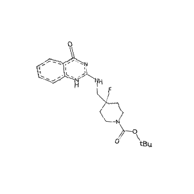 CC(C)(C)OC(=O)N1CCC(F)(CNc2nc(=O)c3ccccc3[nH]2)CC1